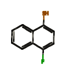 Fc1ccc(S)c2ccccc12